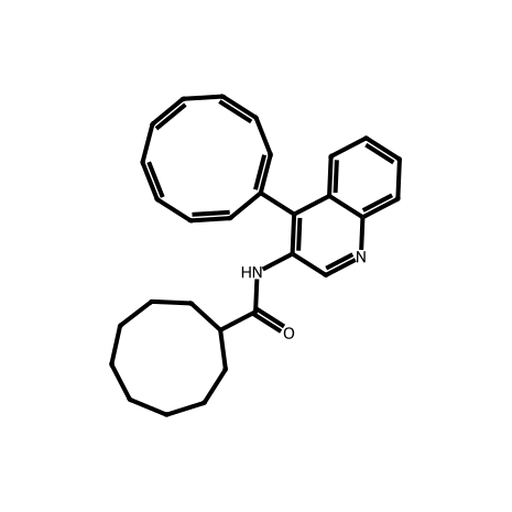 O=C(Nc1cnc2ccccc2c1-c1ccccccccc1)C1CCCCCCCC1